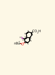 CCCCOc1ccc2cc(C(=O)O)ccc2c1I